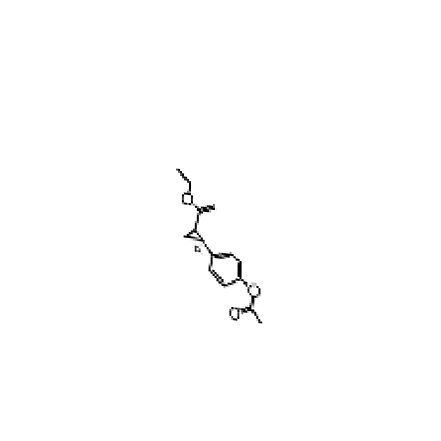 C=C(OCC)C1C[C@@H]1c1ccc(OC(C)=O)cc1